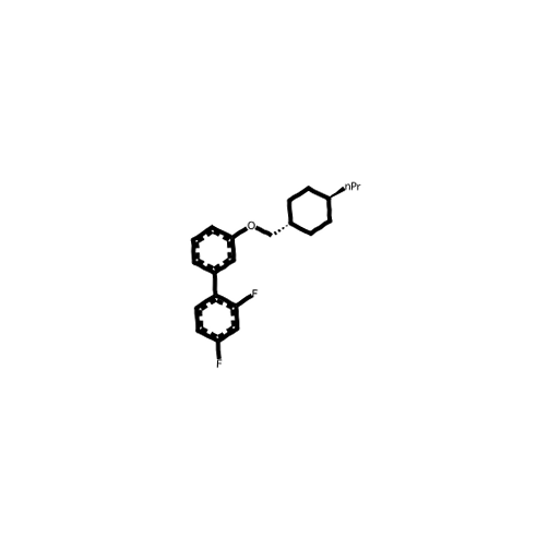 CCC[C@H]1CC[C@H](COc2[c]ccc(-c3ccc(F)cc3F)c2)CC1